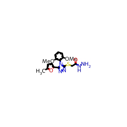 COc1cccc(OC)c1-n1c(SCC(=O)NN)nnc1-c1ccc(C)o1